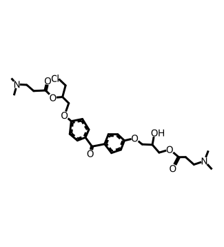 CN(C)CCC(=O)OCC(O)COc1ccc(C(=O)c2ccc(OCC(CCl)OC(=O)CCN(C)C)cc2)cc1